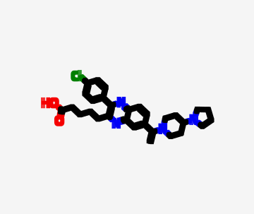 C=C(c1ccc2nc(-c3ccc(Cl)cc3)c(CCCCC(=O)O)nc2c1)N1CCC(N2CCCC2)CC1